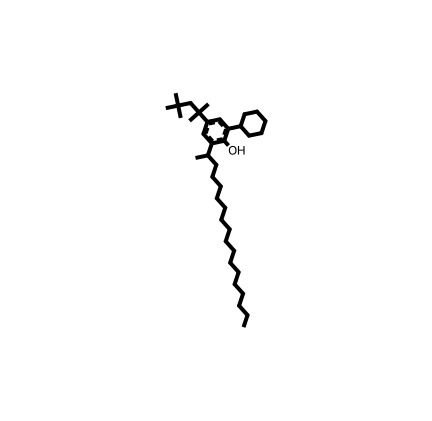 CCCCCCCCCCCCCCCCC(C)c1cc(C(C)(C)CC(C)(C)C)cc(C2CCCCC2)c1O